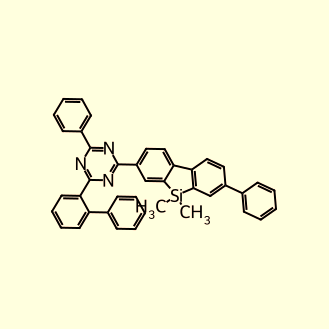 C[Si]1(C)c2cc(-c3ccccc3)ccc2-c2ccc(-c3nc(-c4ccccc4)nc(-c4ccccc4-c4ccccc4)n3)cc21